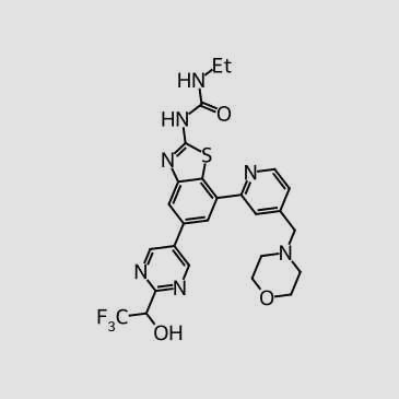 CCNC(=O)Nc1nc2cc(-c3cnc(C(O)C(F)(F)F)nc3)cc(-c3cc(CN4CCOCC4)ccn3)c2s1